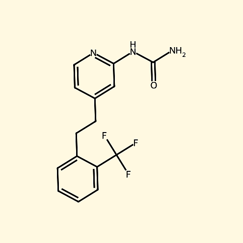 NC(=O)Nc1cc(CCc2ccccc2C(F)(F)F)ccn1